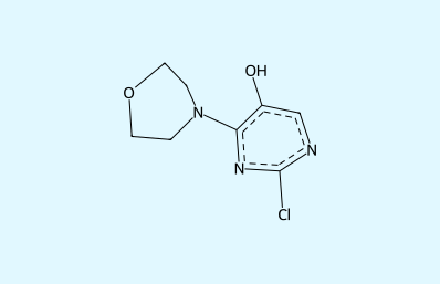 Oc1cnc(Cl)nc1N1CCOCC1